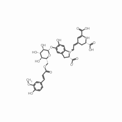 COc1cc(/C=C/C(=O)OC[C@H]2O[C@@H](Oc3cc4c(cc3O)/[N+](=C\C=C3\C=C(C(=O)O)N[C@H](C(=O)O)C3)[C@H](C(=O)[O-])C4)[C@H](O)[C@@H](O)[C@@H]2O)ccc1O